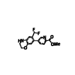 COC(=O)c1ccc(-c2cc3c(cc2C(F)F)NCCO3)cn1